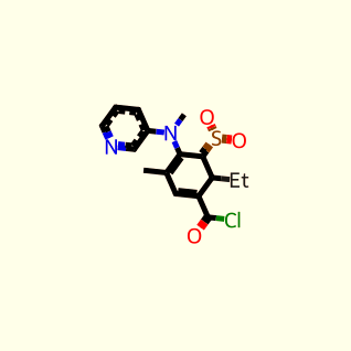 CCC1C(C(=O)Cl)=CC(C)=C(N(C)c2cccnc2)C1=S(=O)=O